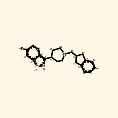 Fc1ccc2c(C3CCN(CC4Cc5ccccc5C4)CC3)noc2c1